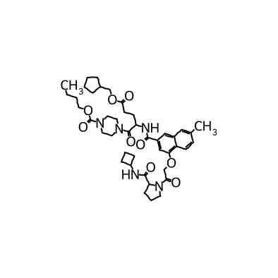 CCCCOC(=O)N1CCN(C(=O)C(CCC(=O)OCC2CCCC2)NC(=O)c2cc(OCC(=O)N3CCCC3C(=O)NC3CCC3)c3ccc(C)cc3c2)CC1